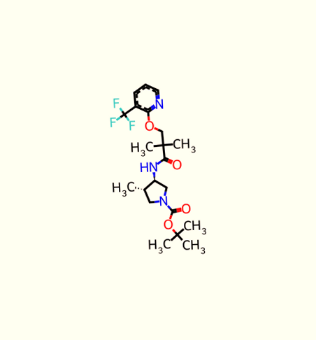 C[C@H]1CN(C(=O)OC(C)(C)C)C[C@@H]1NC(=O)C(C)(C)COc1ncccc1C(F)(F)F